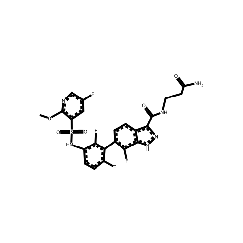 COc1ncc(F)cc1S(=O)(=O)Nc1ccc(F)c(-c2ccc3c(C(=O)NCCC(N)=O)n[nH]c3c2F)c1F